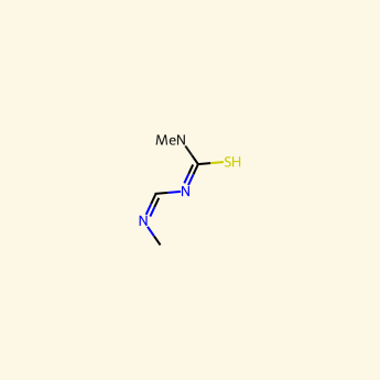 C/N=C\N=C(\S)NC